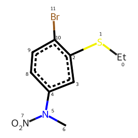 CCSc1cc(N(C)[N+](=O)[O-])ccc1Br